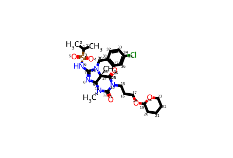 CC(C)S(=O)(=O)NC1=NC2N(C)C(=O)N(CCCOC3CCCCO3)C(=O)[C@]2(C)N1Cc1ccc(Cl)cc1